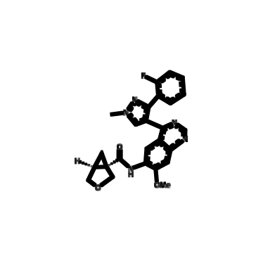 COc1cc2ncnc(-c3cn(C)nc3-c3ccccc3F)c2cc1NC(=O)[C@]12COC[C@H]1C2